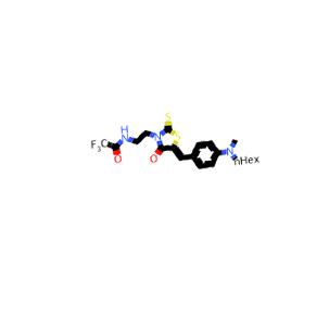 CCCCCCN(C)c1ccc(/C=C2\SC(=S)N(CCNC(=O)C(F)(F)F)C2=O)cc1